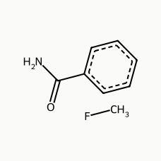 CF.NC(=O)c1ccccc1